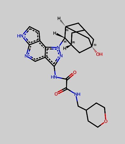 O=C(NCC1CCOCC1)C(=O)Nc1nn([C@H]2[C@@H]3CC4C[C@H]2C[C@@](O)(C4)C3)c2c1cnc1[nH]ccc12